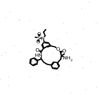 CCCN(c1cc2cc(c1)C(=O)NC(c1ccccc1)CCc1cccc(c1)CC(C)(N)C(=O)OC2)S(C)(=O)=O